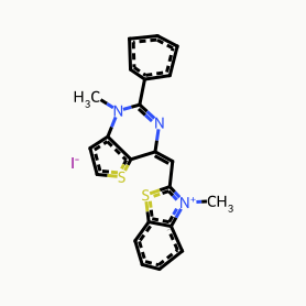 CN1C(c2ccccc2)=N/C(=C/c2sc3ccccc3[n+]2C)c2sccc21.[I-]